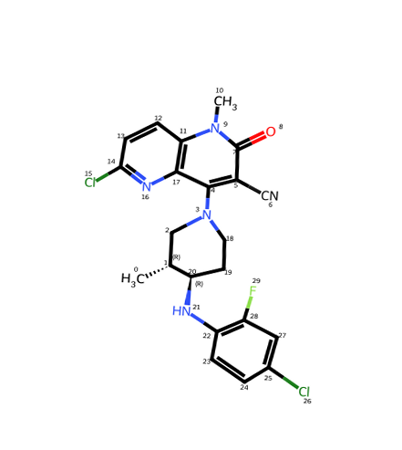 C[C@@H]1CN(c2c(C#N)c(=O)n(C)c3ccc(Cl)nc23)CC[C@H]1Nc1ccc(Cl)cc1F